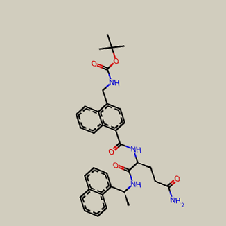 C[C@H](NC(=O)[C@H](CCC(N)=O)NC(=O)c1ccc(CNC(=O)OC(C)(C)C)c2ccccc12)c1cccc2ccccc12